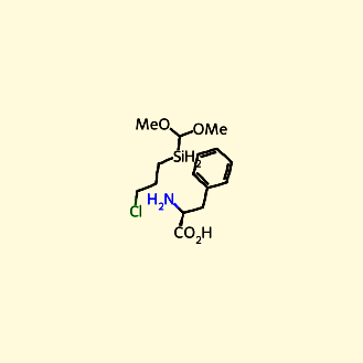 COC(OC)[SiH2]CCCCl.N[C@@H](Cc1ccccc1)C(=O)O